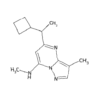 CNc1cc(C(C)C2CCC2)nc2c(C)cnn12